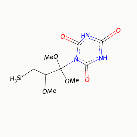 COC(C[SiH3])C(OC)(OC)n1c(=O)[nH]c(=O)[nH]c1=O